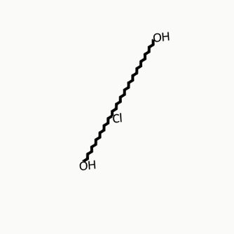 OCCCCCCCCCCCCCCCCCCCCCC(Cl)CCCCCCCCCCCCCO